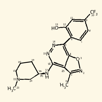 Cc1noc2c(-c3ccc(C(F)(F)F)cc3O)nnc(N[C@@H]3CCCN(C)C3)c12